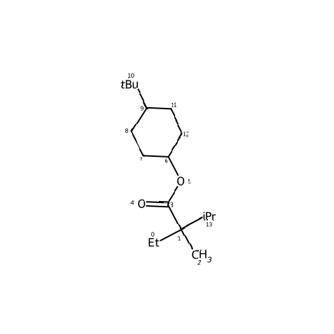 CCC(C)(C(=O)OC1CCC(C(C)(C)C)CC1)C(C)C